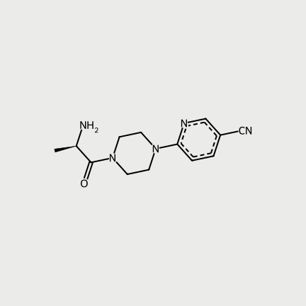 C[C@@H](N)C(=O)N1CCN(c2ccc(C#N)cn2)CC1